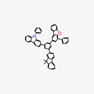 CC1(C)c2ccccc2-c2ccc(-c3cc(-c4cc(-c5ccccc5)c5oc6ccccc6c5c4)cc(-c4ccc5c6ccccc6n(-c6ccccc6)c5c4)c3)cc21